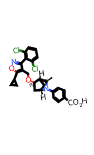 C[C@@H]1[C@@H]2C[C@@H](C[C@H]2OCc2c(-c3c(Cl)cccc3Cl)noc2C2CC2)N1c1ccc(C(=O)O)cc1